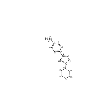 Nc1ccc(-c2csc(C3CCCCC3)n2)cc1